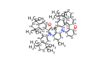 Cc1cc2c3c(c1)N(c1cccc4oc5cc6ccccc6cc5c14)c1ccc(C(C)(C)C)cc1B3c1oc3cc4c(cc3c1N2c1ccc2c(c1)C(C)(C)CCC2(C)C)C(C)(C)CCC4(C)C